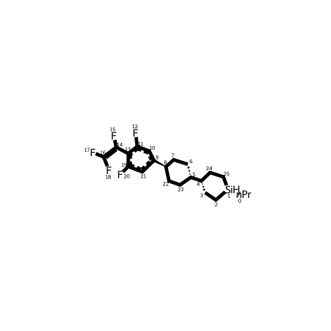 CCC[Si@H]1CC[C@H]([C@H]2CC[C@H](c3cc(F)c(C(F)=C(F)F)c(F)c3)CC2)CC1